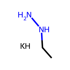 CCNN.[KH]